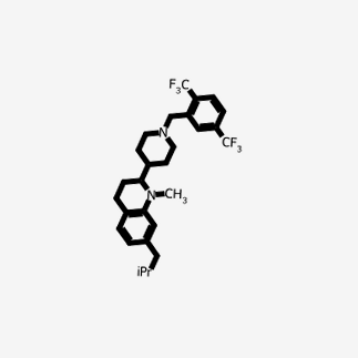 CC(C)Cc1ccc2c(c1)N(C)C(C1CCN(Cc3cc(C(F)(F)F)ccc3C(F)(F)F)CC1)CC2